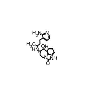 CC(CCc1cccnc1N)N[C@@H]1CCn2c(=O)[nH]c3cccc(c32)[C@H]1O